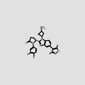 Cc1noc(C)c1-c1ccc2c(c1)nc([C@@H]1CCC(=O)N1c1ccc(F)c(F)c1)n2C1CC(N)C1